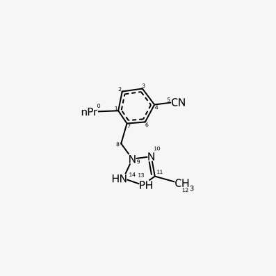 CCCc1ccc(C#N)cc1CN1N=C(C)PN1